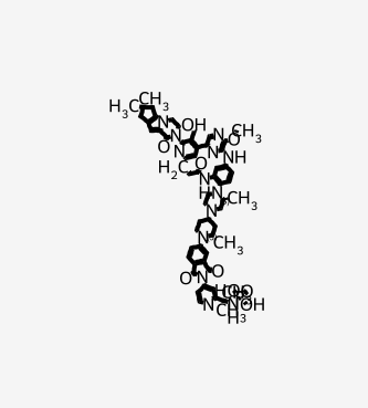 C=CC(=O)Nc1cc(Nc2nc(-c3ccnc(N4CCn5c(cc6c5CC(C)(C)C6)C4=O)c3CO)cnc2OC)ccc1N1CCN(C2CCN(c3ccc4c(c3)C(=O)N(c3ccnc(C(C)(C)NP(=O)(O)O)c3)C4=O)[C@@H](C)C2)C[C@@H]1C